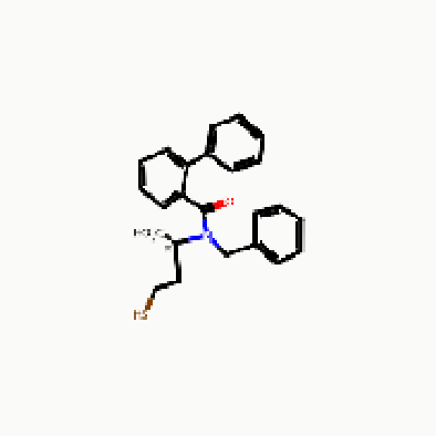 O=C(O)[C@H](CCS)N(Cc1ccccc1)C(=O)c1ccccc1-c1ccccc1